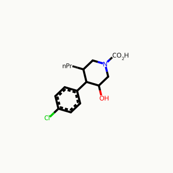 CCCC1CN(C(=O)O)CC(O)C1c1ccc(Cl)cc1